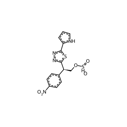 O=[N+]([O-])c1ccc([C@H](CO[SH](=O)=O)c2nnc(-c3ccc[nH]3)s2)cc1